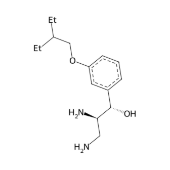 CCC(CC)COc1cccc([C@H](O)[C@H](N)CN)c1